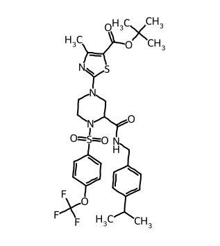 Cc1nc(N2CCN(S(=O)(=O)c3ccc(OC(F)(F)F)cc3)C(C(=O)NCc3ccc(C(C)C)cc3)C2)sc1C(=O)OC(C)(C)C